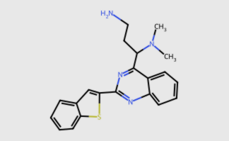 CN(C)C(CCN)c1nc(-c2cc3ccccc3s2)nc2ccccc12